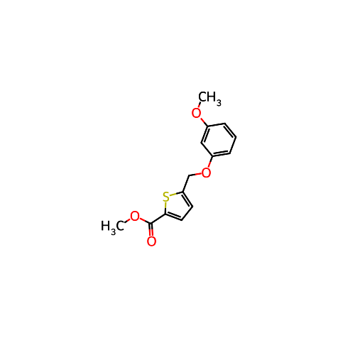 COC(=O)c1ccc(COc2cccc(OC)c2)s1